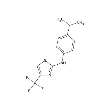 CC(C)c1ccc(Nc2nc(C(F)(F)F)cs2)cc1